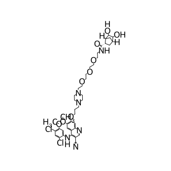 COc1cc(Nc2c(C#N)cnc3cc(OCCCN4CCN(CCOCCOCCOCCNC(=O)[C@H]5C[C@@H]6C[C@H]5[C@@H](O)[C@H]6O)CC4)c(OC)cc23)c(Cl)cc1Cl